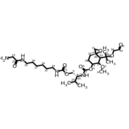 COC1C(OC(=O)N[C@@H](COC(=O)NCCCCCCNC(=O)CN)C(C)C)CC[C@]2(CO2)C1C(C)(C)OCC=O